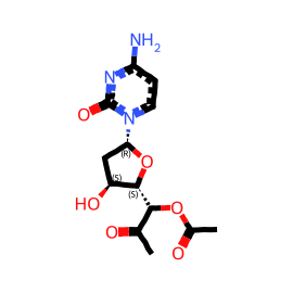 CC(=O)OC(C(C)=O)[C@H]1O[C@@H](n2ccc(N)nc2=O)C[C@@H]1O